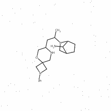 CC(C)N1CC2(CNC(CC(C)N3CC4CCC3C4N)CO2)C1